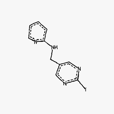 Ic1ncc(CNc2ccccn2)cn1